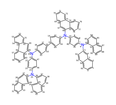 c1ccc2cc(N(c3ccc(N(c4ccc(-c5ccc(N(c6ccc(N(c7ccc8ccccc8c7)c7cccc8ccccc78)cc6)c6cc7ccccc7c7ccccc67)cc5)cc4)c4cc5ccccc5c5ccccc45)cc3)c3cccc4ccccc34)ccc2c1